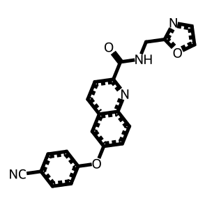 N#Cc1ccc(Oc2ccc3nc(C(=O)NCc4ncco4)ccc3c2)cc1